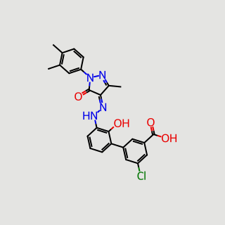 CC1=NN(c2ccc(C)c(C)c2)C(=O)C1=NNc1cccc(-c2cc(Cl)cc(C(=O)O)c2)c1O